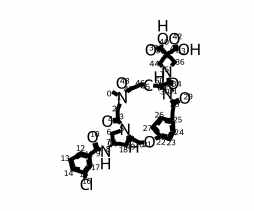 CN1CC(=O)N2C[C@H](NC(=O)c3cccc(Cl)c3)C[C@H]2COc2ccc(cc2)C(=O)N(C)[C@H](C(=O)N2CC(C(=O)O)(C(=O)O)C2)CCC1=O